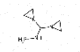 PNC(N1CC1)N1CC1